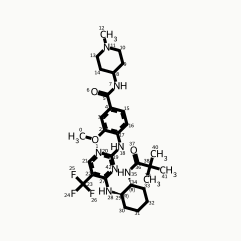 COc1cc(C(=O)NC2CCN(C)CC2)ccc1Nc1ncc(C(F)(F)F)c(N[C@@H]2CCCC[C@H]2NC(=O)C(C)(C)C)n1